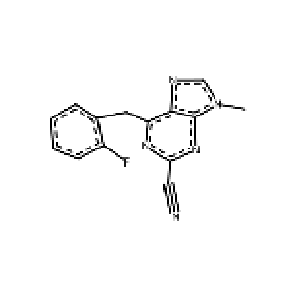 Cn1cnc2c(Cc3ccccc3F)nc(C#N)nc21